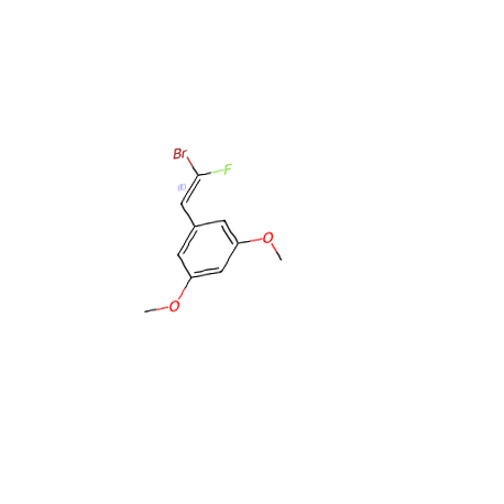 COc1cc(/C=C(\F)Br)cc(OC)c1